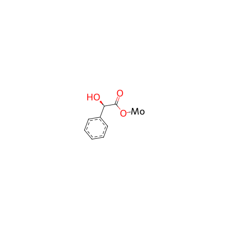 O=C([O][Mo])[C@H](O)c1ccccc1